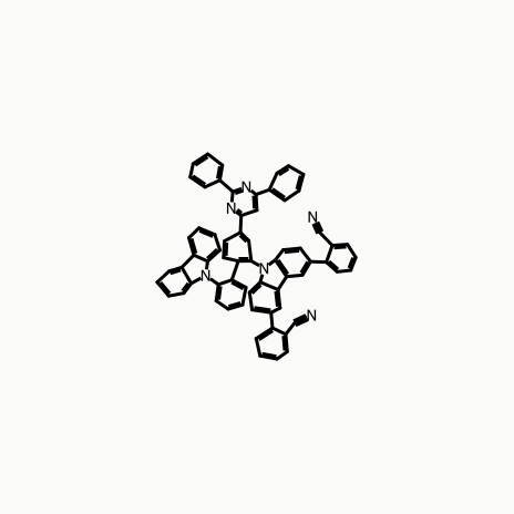 N#Cc1ccccc1-c1ccc2c(c1)c1cc(-c3ccccc3C#N)ccc1n2-c1cc(-c2cc(-c3ccccc3)nc(-c3ccccc3)n2)ccc1-c1ccccc1-n1c2ccccc2c2ccccc21